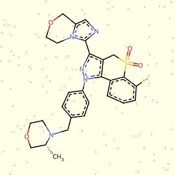 C[C@@H]1COCCN1Cc1ccc(-n2nc(-c3ncc4n3CCOC4)c3c2-c2cccc(F)c2S(=O)(=O)C3)cc1